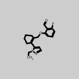 CCn1nccc1C1=C(COc2cccc(F)c2C=O)CCCC1